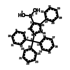 OB(O)c1cn(C(c2ccccc2)(c2ccccc2)c2ccccc2)nc1-c1ccccc1